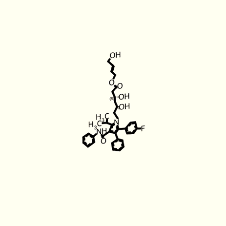 CC(C)c1c(C(=O)Nc2ccccc2)c(-c2ccccc2)c(-c2ccc(F)cc2)n1CC[C@@H](O)C[C@@H](O)CC(=O)OCC=CCO